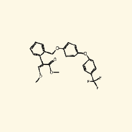 COC=C(C(=O)OC)c1ccccc1COc1ccc(Oc2ccc(C(F)(F)F)cc2)cc1